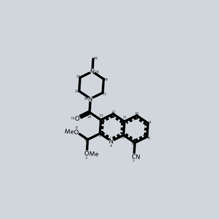 COC(OC)c1nc2c(C#N)cccc2cc1C(=O)N1CCN(C)CC1